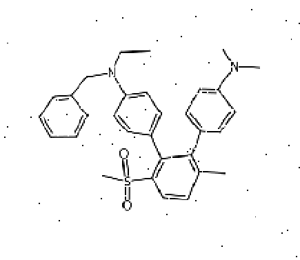 CCN(Cc1ccccc1)c1ccc(-c2c(S(C)(=O)=O)ccc(C)c2-c2ccc(N(C)C)cc2)cc1